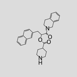 O=C(OC(Cc1ccc2ccccc2c1)C(=O)N1CCc2ccccc2C1)C1CCNCC1